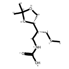 CSC[C@H](CNC(=O)O)[C@H]1COC(C)(C)O1